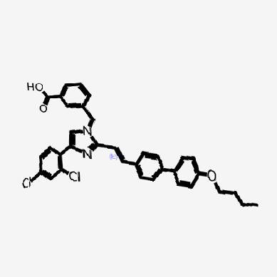 CCCCOc1ccc(-c2ccc(/C=C/c3nc(-c4ccc(Cl)cc4Cl)cn3Cc3cccc(C(=O)O)c3)cc2)cc1